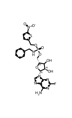 Nc1nc(F)nc2c1ncn2[C@@H]1O[C@H](COP(=O)(NCc2ccccc2)OCc2ccc([N+](=O)[O-])s2)C(O)[C@H]1O